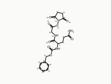 NC(=O)CCC(NC(=O)OCc1ccccc1)C(=O)NCC(=O)ON1C(=O)CCC1=O